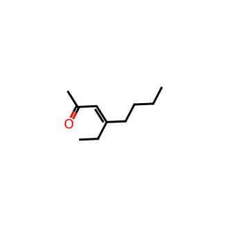 CCCCC(=CC(C)=O)CC